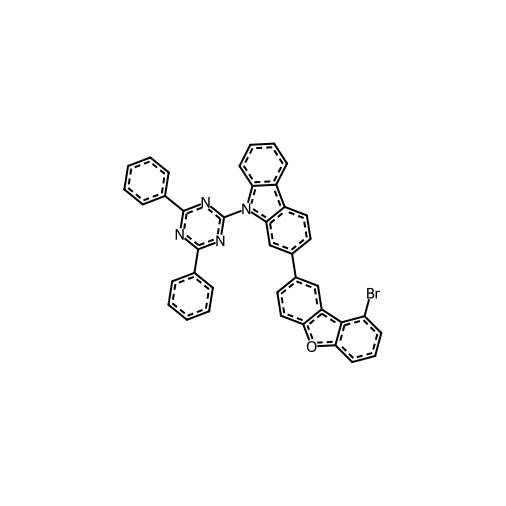 Brc1cccc2oc3ccc(-c4ccc5c6ccccc6n(-c6nc(-c7ccccc7)nc(-c7ccccc7)n6)c5c4)cc3c12